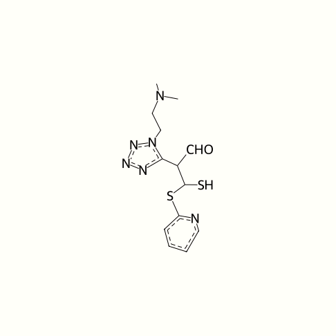 CN(C)CCn1nnnc1C(C=O)C(S)Sc1ccccn1